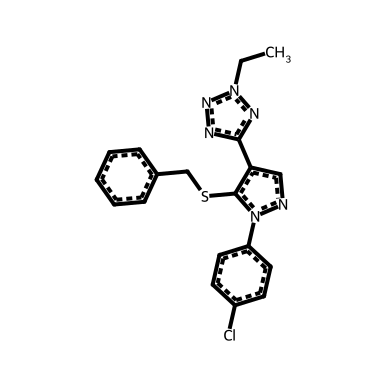 CCn1nnc(-c2cnn(-c3ccc(Cl)cc3)c2SCc2ccccc2)n1